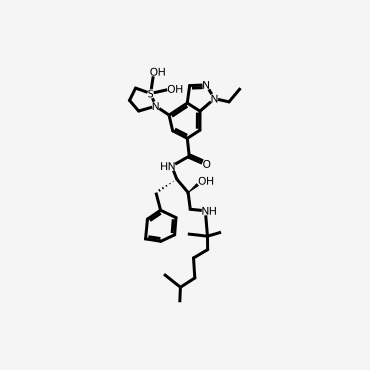 CCn1ncc2c(N3CCCS3(O)O)cc(C(=O)N[C@@H](Cc3ccccc3)[C@@H](O)CNC(C)(C)CCCC(C)C)cc21